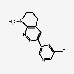 CN1CCCc2cc(-c3cncc(F)c3)cnc21